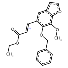 CCOC(=O)/C=C/c1cc2ccoc2c(OC)c1OCc1ccccc1